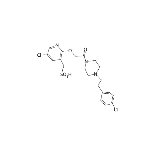 O=C(COc1ncc(Cl)cc1CS(=O)(=O)O)N1CCN(CCc2ccc(Cl)cc2)CC1